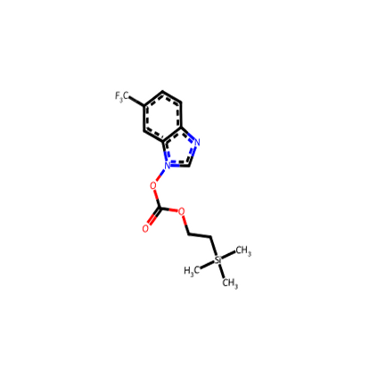 C[Si](C)(C)CCOC(=O)On1cnc2ccc(C(F)(F)F)cc21